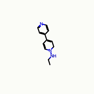 CCNN1C=CC(c2ccncc2)=CC1